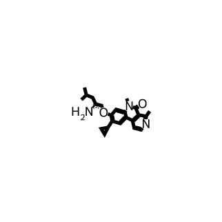 Cc1nccc2c1c(=O)n(C)c1cc(OC[C@@H](N)CC(C)C)c(C3CC3)cc21